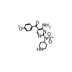 COc1ccc(C(=O)c2cnc(N(C3CCNCC3)S(C)(=O)=O)nc2N)cc1